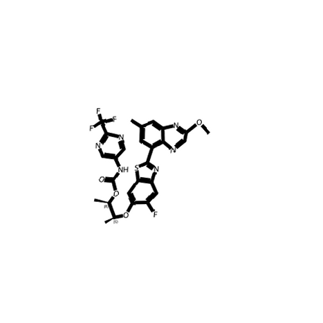 COc1cnc2c(-c3nc4cc(F)c(O[C@@H](C)[C@@H](C)OC(=O)Nc5cnc(C(F)(F)F)nc5)cc4s3)cc(C)cc2n1